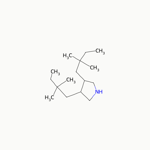 CCC(C)(C)CC1CNCC1CC(C)(C)CC